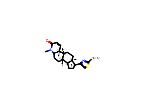 CC(=O)Nc1nc(C2CC[C@H]3[C@@H]4CCC5N(C)C(=O)C=C[C@]5(C)[C@@H]4CC[C@]23C)cs1